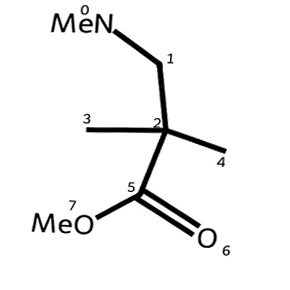 CNCC(C)(C)C(=O)OC